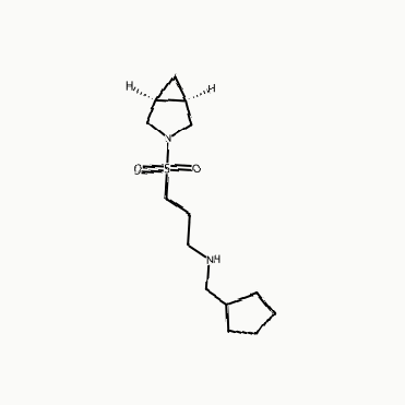 O=S(=O)(CCCNCC1CCCC1)N1C[C@H]2[CH][C@H]2C1